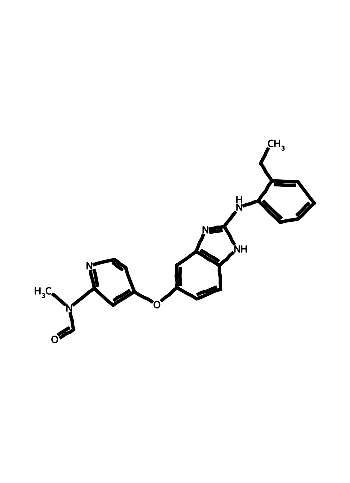 CCc1ccccc1Nc1nc2cc(Oc3ccnc(N(C)C=O)c3)ccc2[nH]1